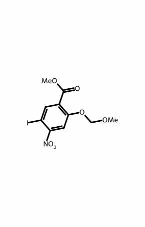 COCOc1cc([N+](=O)[O-])c(I)cc1C(=O)OC